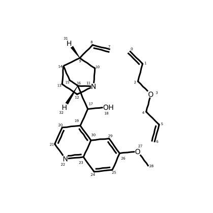 C=CCOCC=C.C=C[C@@H]1CN2CCC1C[C@H]2C(O)c1ccnc2ccc(OC)cc12